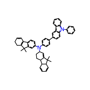 CC1(C)C2=C(C=CCC2)c2ccc(N(c3ccc(-c4ccc5c(c4)c4ccccc4n5-c4ccccc4)cc3)[C@H]3C=C4C(CC3)C3C=CC=CC3C4(C)C)cc21